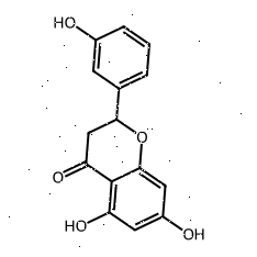 O=C1CC(c2cccc(O)c2)Oc2cc(O)cc(O)c21